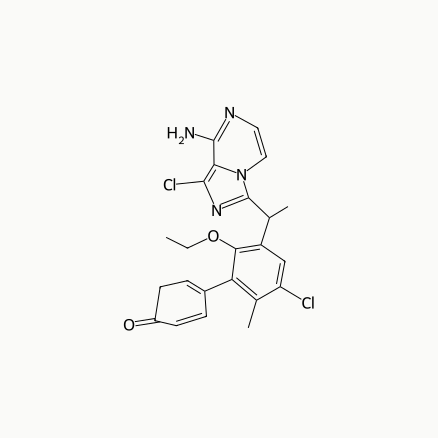 CCOc1c(C(C)c2nc(Cl)c3c(N)nccn23)cc(Cl)c(C)c1C1=CCC(=O)C=C1